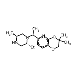 CC[C@@H]1CN[C@@H](C)CN1C(C)c1ccc2c(n1)OC(C)(C)CO2